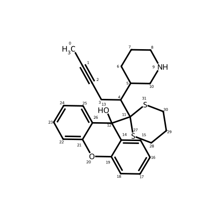 CC#CCC(C1CCCNC1)C1(C2(O)c3ccccc3Oc3ccccc32)SCCCS1